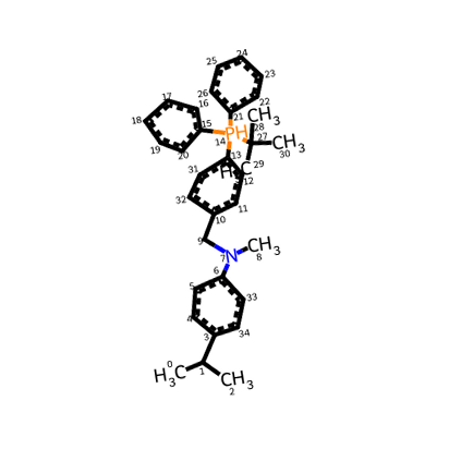 CC(C)c1ccc(N(C)Cc2ccc([PH](c3ccccc3)(c3ccccc3)C(C)(C)C)cc2)cc1